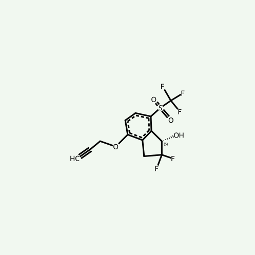 C#CCOc1ccc(S(=O)(=O)C(F)(F)F)c2c1CC(F)(F)[C@H]2O